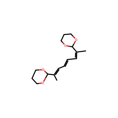 CC(=CC=CC=C(C)C1OCCCO1)C1OCCCO1